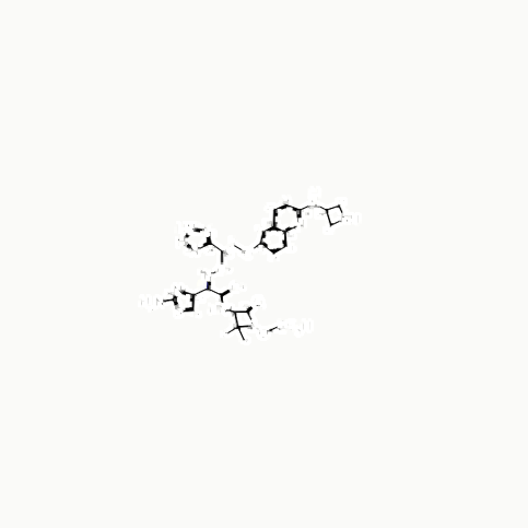 CC1(C)C(NC(=O)/C(=N\O[C@@H](COc2ccc3nc(NC4CNC4)ccc3c2)c2nn[nH]n2)c2csc(N)n2)C(=O)N1OS(=O)(=O)O